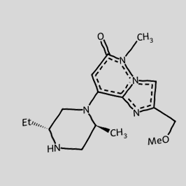 CC[C@@H]1CN(c2cc(=O)n(C)n3cc(COC)nc23)[C@@H](C)CN1